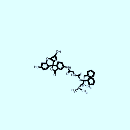 C[C@H](CN(C)C)[C@](Cc1ccccc1)(OC(=O)NCC(=O)Nc1ccc2c(c1)C(=O)OC21c2ccc(O)cc2Oc2cc(O)ccc21)c1ccccc1